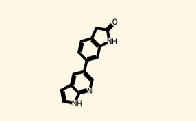 O=C1Cc2ccc(-c3cnc4[nH]ccc4c3)cc2N1